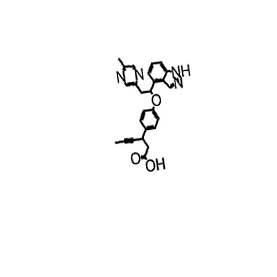 CC#CC(CC(=O)O)c1ccc(OC(Cc2cnc(C)cn2)c2cccc3[nH]ncc23)cc1